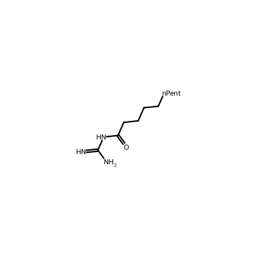 CCCCCCCCCC(=O)NC(=N)N